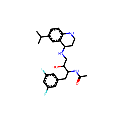 CC(=O)NC(Cc1cc(F)cc(F)c1)C(O)CNC1CCNc2ccc(C(C)C)cc21